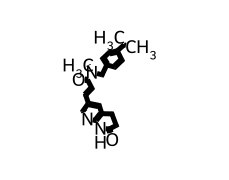 CC(C)c1ccc(CN(C)C(=O)C=Cc2cnc3c(c2)CCC(=O)N3)cc1